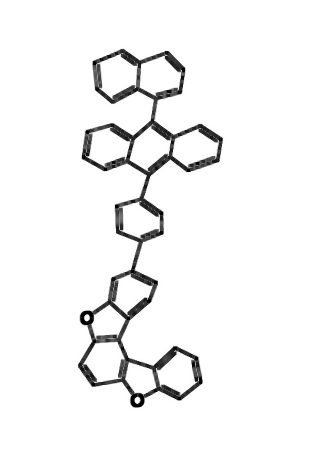 c1ccc2c(-c3c4ccccc4c(-c4ccc(-c5ccc6c(c5)oc5ccc7oc8ccccc8c7c56)cc4)c4ccccc34)cccc2c1